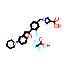 O=C(O)C(F)(F)F.O=C(O)C1CN(Cc2ccc(-c3cc4cc(N5CCCCC5)ccc4o3)c(F)c2)C1